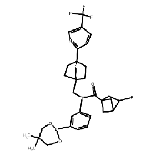 CC1(C)COB(c2cccc(N(CC34CCC(c5ccc(C(F)(F)F)cn5)(CC3)CC4)C(=O)C34CC(F)C(C3)C4)c2)OC1